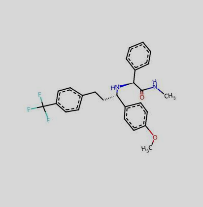 CNC(=O)[C@@H](N[C@@H](CCc1ccc(C(F)(F)F)cc1)c1ccc(OC)cc1)c1ccccc1